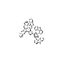 c1ccc2cc3c(cc2c1)c1cc2ccccc2cc1n3-c1ccc(-c2nc(-c3cccc4sc5ccccc5c34)nc(-c3cccc4sc5ccccc5c34)n2)cc1-c1ccc2c(c1)sc1ccccc12